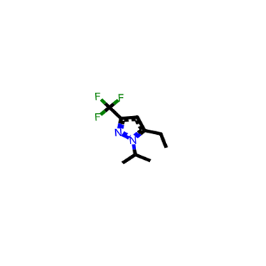 CCc1cc(C(F)(F)F)nn1C(C)C